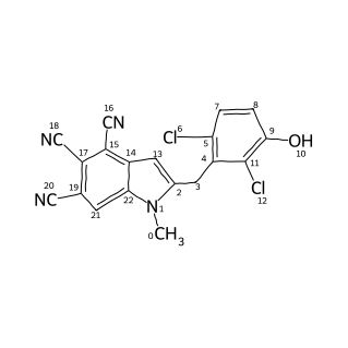 Cn1c(Cc2c(Cl)ccc(O)c2Cl)cc2c(C#N)c(C#N)c(C#N)cc21